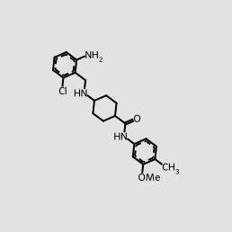 COc1cc(NC(=O)C2CCC(NCc3c(N)cccc3Cl)CC2)ccc1C